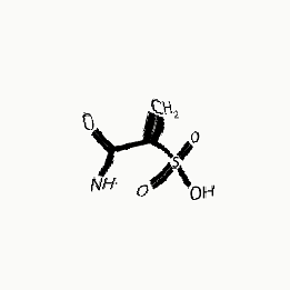 C=C(C([NH])=O)S(=O)(=O)O